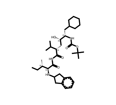 CC[C@H](C)[C@H](NC1Cc2ccccc2C1)C(=O)NC(=O)[C@@H](C[C@H](O)[C@H](CC1CCCCC1)NC(=O)OC(C)(C)C)C(C)C